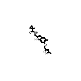 Cc1cc(COc2cc3[nH]c(CNC(=O)C4(F)CC4)cc3cc2F)on1